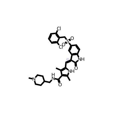 Cc1[nH]c(/C=C2\C(=O)Nc3ccc(S(=O)(=O)Cc4c(Cl)cccc4Cl)cc32)c(C)c1C(=O)NCC1CCN(C)CC1